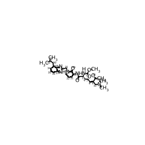 COC(=O)N[C@@H](CC/C=C(/CN(C)C)C(C)=O)C(=O)Nc1cccn(Cc2nc3c(CC(C)C)cccc3[nH]2)c1=O